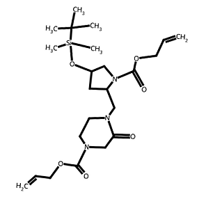 C=CCOC(=O)N1CCN(CC2CC(O[Si](C)(C)C(C)(C)C)CN2C(=O)OCC=C)C(=O)C1